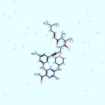 CCc1nc(C(N)=O)c(Nc2cc(C#CCNC(=O)[C@H](C)N(C)C(=O)/C=C/CN(C)C)cc(OC)c2)nc1NC1CCOCC1